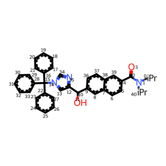 CC(C)N(C(=O)c1ccc2cc(C(O)c3cn(C(c4ccccc4)(c4ccccc4)c4ccccc4)cn3)ccc2c1)C(C)C